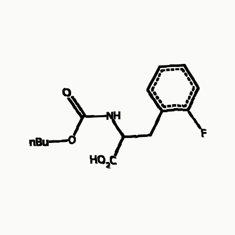 CCCCOC(=O)NC(Cc1ccccc1F)C(=O)O